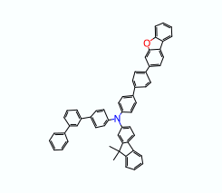 CC1(C)c2ccccc2-c2ccc(N(c3ccc(-c4ccc(-c5ccc6c(c5)oc5ccccc56)cc4)cc3)c3ccc(-c4cccc(-c5ccccc5)c4)cc3)cc21